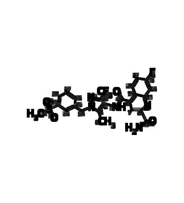 Cc1c(NC(=O)c2cc(C(N)=O)nc3cc(F)ccc23)c(C(F)(F)F)nn1Cc1cccc(S(C)(=O)=O)c1